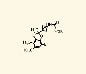 Cc1c(C(=O)O)cc(Br)c2c1OC(C)(C13CC(NC(=O)OC(C)(C)C)(C1)C3)O2